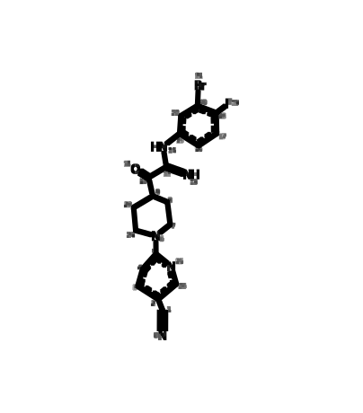 N#Cc1ccc(N2CCC(C(=O)C(=N)Nc3ccc(F)c(Br)c3)CC2)nc1